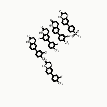 O=C1CCc2cc(-c3ccc(C(F)(F)F)c(Cl)c3)ccc2N1.O=C1CCc2cc(-c3ccc(C(F)(F)F)c(F)c3)cc(F)c2N1.O=C1CCc2cc(-c3ccc(C(F)(F)F)c([N+](=O)[O-])c3)ccc2N1.O=C1CSc2cc(-c3ccc(C(F)(F)F)c(F)c3)ccc2N1.O=C1CSc2cc(-c3ccc(S(=O)(=O)C(F)(F)F)cc3)ccc2N1